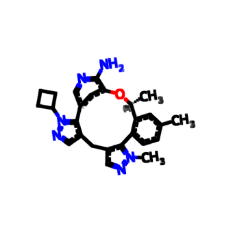 Cc1ccc2c(c1)[C@@H](C)Oc1cc(cnc1N)-c1c(cnn1C1CCC1)Cc1cnn(C)c1-2